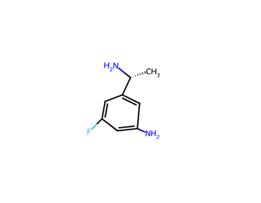 C[C@@H](N)c1cc(N)cc(F)c1